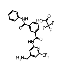 NCc1cc(NC(=O)c2cccc(C(=O)Nc3ccccc3)c2)nc(C(F)(F)F)c1.O=C(O)C(F)(F)F